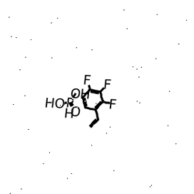 C=Cc1ccc(F)c(F)c1F.O=[PH](O)O